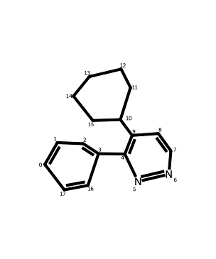 c1ccc(-c2nnccc2C2CCCCC2)cc1